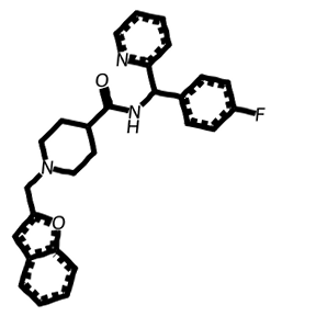 O=C(NC(c1ccc(F)cc1)c1ccccn1)C1CCN(Cc2cc3ccccc3o2)CC1